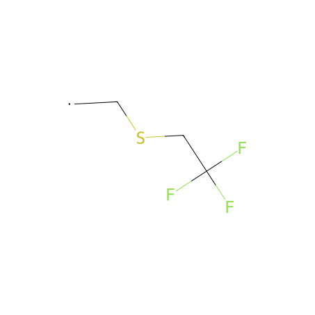 [CH2]CSCC(F)(F)F